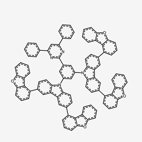 c1ccc(-c2cc(-c3ccccc3)nc(-c3cc(-n4c5ccc(-c6cccc7oc8ccccc8c67)cc5c5cc(-c6cccc7oc8ccccc8c67)ccc54)cc(-n4c5ccc(-c6cccc7oc8ccccc8c67)cc5c5cc(-c6cccc7oc8ccccc8c67)ccc54)c3)n2)cc1